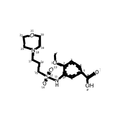 COc1ccc(C(=O)O)cc1NS(=O)(=O)CCCN1CCOCC1